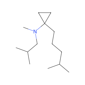 CC(C)CCCC1(N(C)CC(C)C)CC1